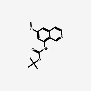 COc1cc(NC(=O)OC(C)(C)C)c2cnccc2c1